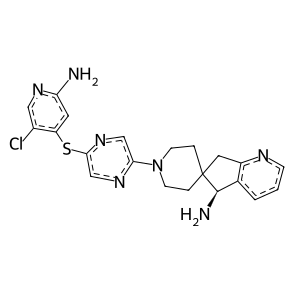 Nc1cc(Sc2cnc(N3CCC4(CC3)Cc3ncccc3[C@H]4N)cn2)c(Cl)cn1